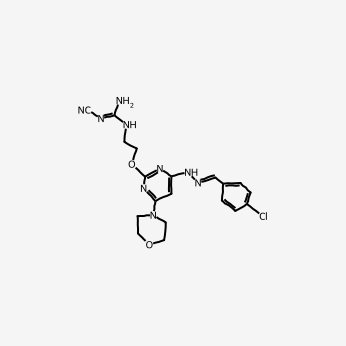 N#CN=C(N)NCCOc1nc(NN=Cc2ccc(Cl)cc2)cc(N2CCOCC2)n1